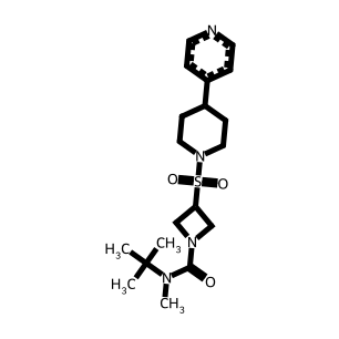 CN(C(=O)N1CC(S(=O)(=O)N2CCC(c3ccncc3)CC2)C1)C(C)(C)C